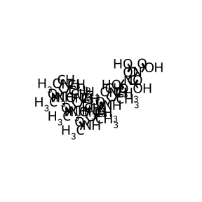 CC(=O)NC1CC(C)(C)NC(C)(C)C1.CC(=O)NC1CC(C)(C)NC(C)(C)C1.CC(=O)NC1CC(C)(C)NC(C)(C)C1.CC(=O)NC1CC(C)(C)NC(C)(C)C1.O=C(O)CN(CCN(CC(=O)O)CC(=O)O)CC(=O)O